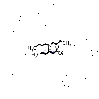 C/C=C/C=C/C(=O)O.CCCCNCCCC